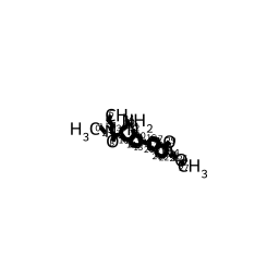 CCCN(CCC)C(=O)C1=Cc2ccc(-c3ccc4c(c3)CCN(CCOC)C4=O)cc2N=C(N)C1